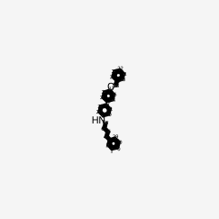 c1ccc(CCCCN[C@H]2CC[C@@H](c3ccc(OCc4ccccc4)cc3)CC2)cc1